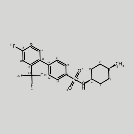 C[C@H]1CC[C@@H](NS(=O)(=O)c2ccc(-c3ccc(F)cc3C(F)(F)F)cc2)CC1